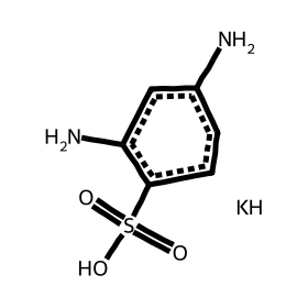 Nc1ccc(S(=O)(=O)O)c(N)c1.[KH]